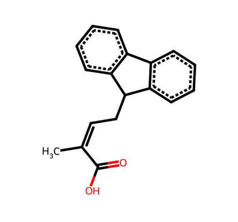 CC(=CCC1c2ccccc2-c2ccccc21)C(=O)O